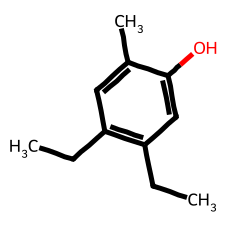 CCc1cc(C)c(O)cc1CC